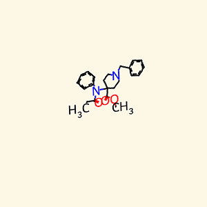 CCC(=O)N(c1ccccc1)C1(C(=O)OC)CCN(Cc2ccccc2)CC1